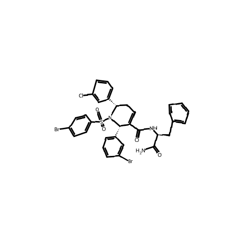 NC(=O)[C@H](Cc1ccccc1)NC(=O)C1=CC[C@@H](c2cccc(Cl)c2)N(S(=O)(=O)c2ccc(Br)cc2)[C@H]1c1cccc(Br)c1